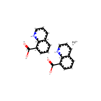 O=C([O-])c1cccc2cccnc12.O=C([O-])c1cccc2cccnc12.[Pd+2]